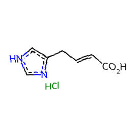 Cl.O=C(O)C=CCc1c[nH]cn1